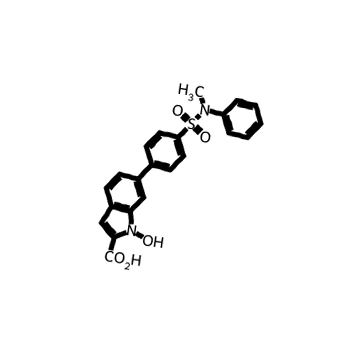 CN(c1ccccc1)S(=O)(=O)c1ccc(-c2ccc3cc(C(=O)O)n(O)c3c2)cc1